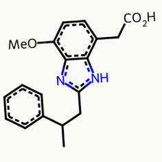 COc1ccc(CC(=O)O)c2[nH]c(CC(C)c3ccccc3)nc12